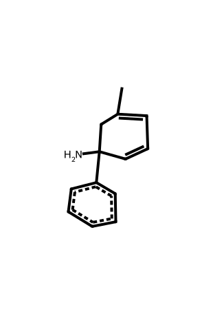 CC1=CC=CC(N)(c2ccccc2)C1